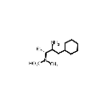 CC[C@H]([C@@H](N)CC1CCCCC1)N(C)C(=O)O